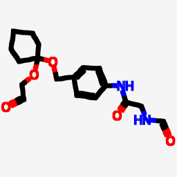 O=CCOC1(OCc2ccc(NC(=O)CNC=O)cc2)CCCCC1